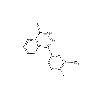 Cc1ccc(-c2n[nH]c(=O)c3ccccc23)cc1[N+](=O)[O-]